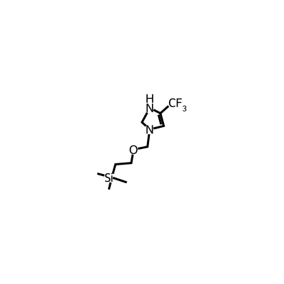 C[Si](C)(C)CCOCN1C=C(C(F)(F)F)NC1